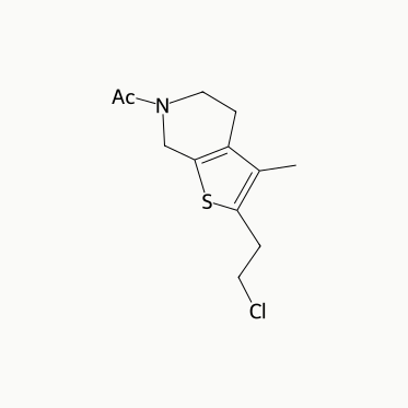 CC(=O)N1CCc2c(sc(CCCl)c2C)C1